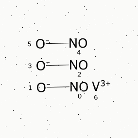 O=N[O-].O=N[O-].O=N[O-].[V+3]